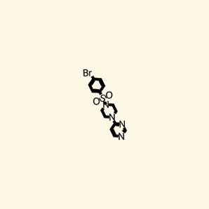 O=S(=O)(c1ccc(Br)cc1)N1CCN(c2ccncn2)CC1